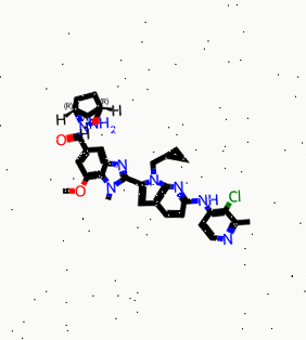 COc1cc(C(=O)N2C[C@H]3CC[C@@H]2[C@@H]3N)cc2nc(-c3cc4ccc(Nc5ccnc(C)c5Cl)nc4n3CC3CC3)n(C)c12